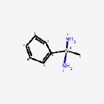 C[Si](N)(N)c1ccccc1